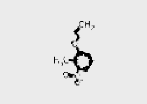 C=CCOc1cccc([N+](=O)[O-])c1C